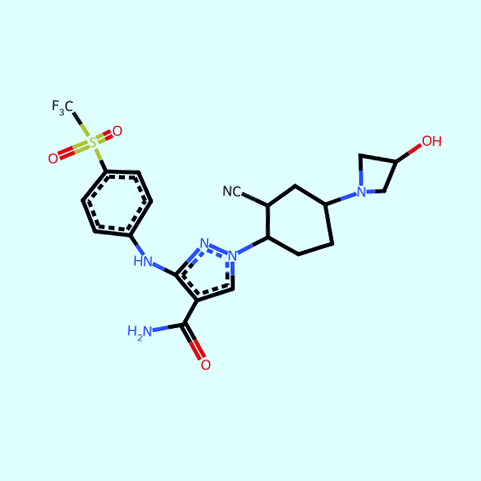 N#CC1CC(N2CC(O)C2)CCC1n1cc(C(N)=O)c(Nc2ccc(S(=O)(=O)C(F)(F)F)cc2)n1